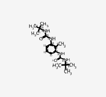 Cc1c(NC(=O)NC(C)(C)C)cccc1NC(=O)NC(C)(C)C